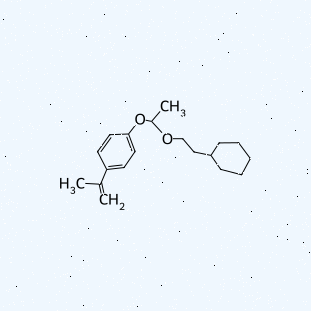 C=C(C)c1ccc(OC(C)OCCC2CCCCC2)cc1